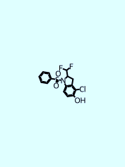 O=S(=O)(c1ccccc1)N1c2ccc(O)c(Cl)c2CC1C(F)F